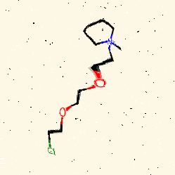 C[N+]1(CCOCCOCCCl)CCCC1